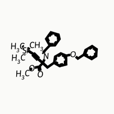 COC(=O)C(C#C[Si](C)(C)C)(Cc1ccc(OCc2ccccc2)cc1)N=Cc1ccccc1